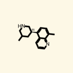 Cc1ccc([C@@H]2CNCC(C)C2)c2cccnc12